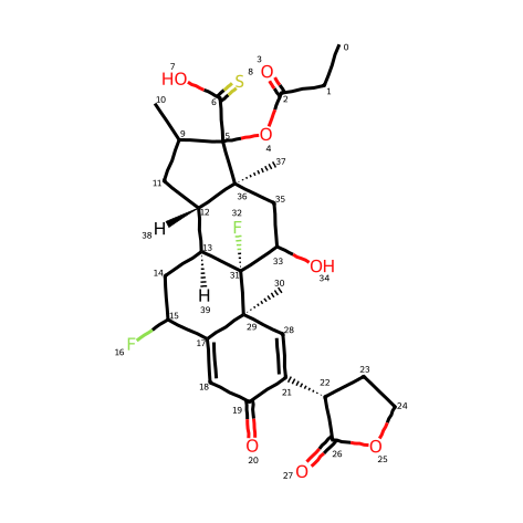 CCC(=O)OC1(C(O)=S)C(C)C[C@H]2[C@@H]3CC(F)C4=CC(=O)C([C@@H]5CCOC5=O)=C[C@]4(C)[C@]3(F)C(O)C[C@@]21C